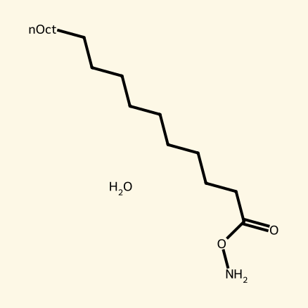 CCCCCCCCCCCCCCCCCC(=O)ON.O